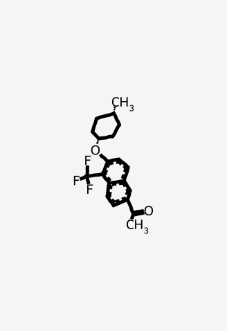 CC(=O)c1ccc2c(C(F)(F)F)c(O[C@H]3CC[C@@H](C)CC3)ccc2c1